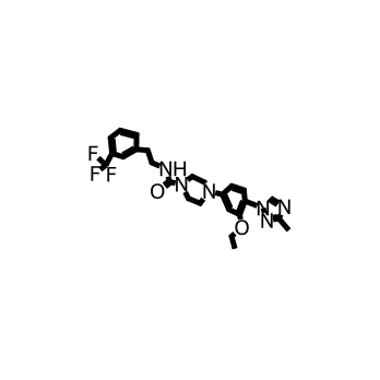 CCOc1cc(N2CCN(C(=O)NCCc3cccc(C(F)(F)F)c3)CC2)ccc1-n1cnc(C)n1